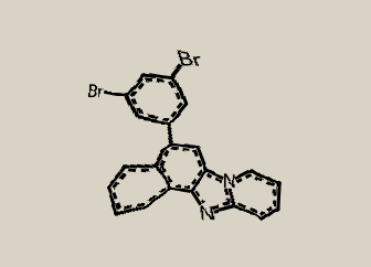 Brc1cc(Br)cc(-c2cc3c(nc4ccccn43)c3ccccc23)c1